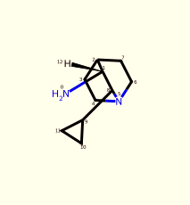 N[C@@H]1C2CCN(CC2)C1C1CC1